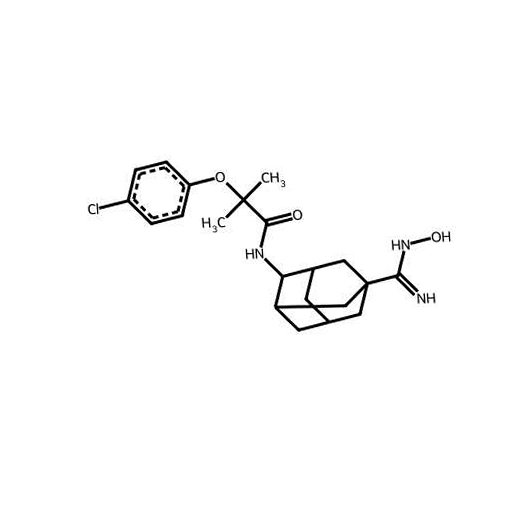 CC(C)(Oc1ccc(Cl)cc1)C(=O)NC1C2CC3CC1CC(C(=N)NO)(C3)C2